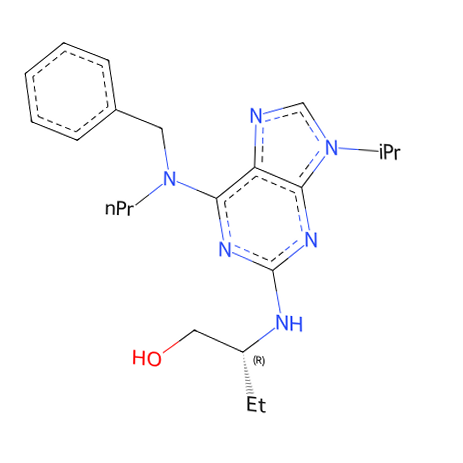 CCCN(Cc1ccccc1)c1nc(N[C@H](CC)CO)nc2c1ncn2C(C)C